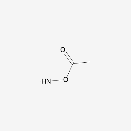 CC(=O)O[NH]